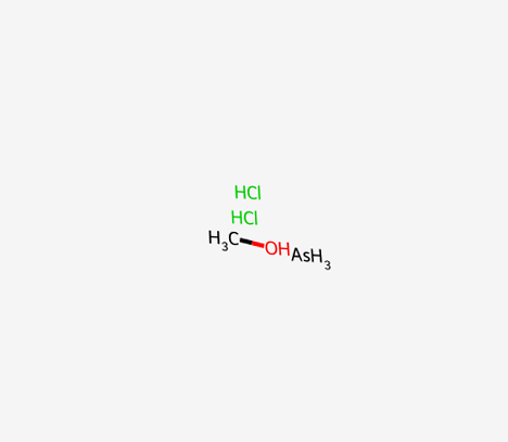 CO.Cl.Cl.[AsH3]